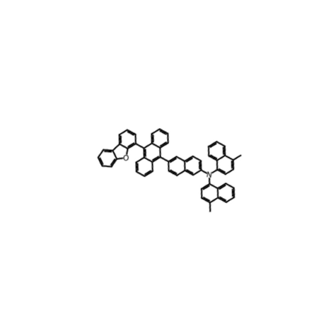 Cc1ccc(N(c2ccc3cc(-c4c5ccccc5c(-c5cccc6c5oc5ccccc56)c5ccccc45)ccc3c2)c2ccc(C)c3ccccc23)c2ccccc12